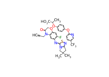 C#CCN1C(=O)COc2cc(F)c(/N=c3\snc4n3CC(C)(C)C4)cc21.CC(Oc1ccc(Oc2ccc(C(F)(F)F)cn2)cc1)C(=O)O